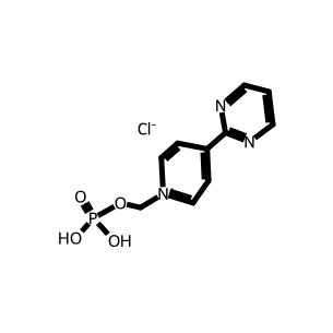 O=P(O)(O)OC[n+]1ccc(-c2ncccn2)cc1.[Cl-]